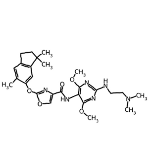 COc1nc(NCCN(C)C)nc(OC)c1NC(=O)c1coc(Oc2cc3c(cc2C)CCC3(C)C)n1